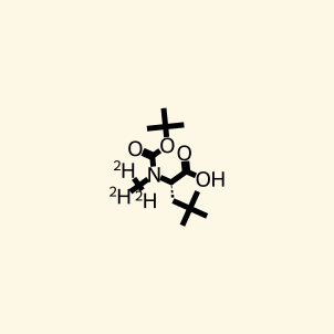 [2H]C([2H])([2H])N(C(=O)OC(C)(C)C)[C@@H](CC(C)(C)C)C(=O)O